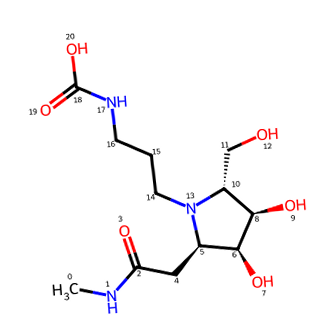 CNC(=O)C[C@@H]1[C@H](O)[C@H](O)[C@@H](CO)N1CCCNC(=O)O